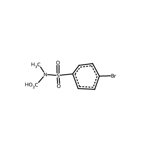 CN(C(=O)O)S(=O)(=O)c1ccc(Br)cc1